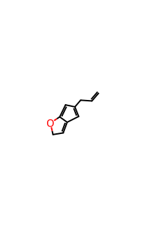 C=CCC1=CC2=CCOC2=C1